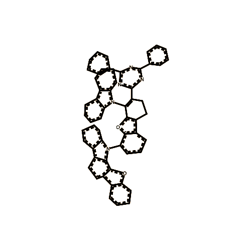 c1ccc(-c2nc(C3=C(n4c5ccccc5c5ccccc54)c4oc5c(-n6c7ccccc7c7ccc8c9ccccc9oc8c76)cccc5c4CC3)nc(-c3ccccc3)n2)cc1